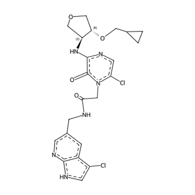 O=C(Cn1c(Cl)cnc(N[C@H]2COC[C@@H]2OCC2CC2)c1=O)NCc1cnc2[nH]cc(Cl)c2c1